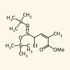 CCC(C=C(C)C(=O)OC)[SiH](O[Si](C)(C)C)O[Si](C)(C)C